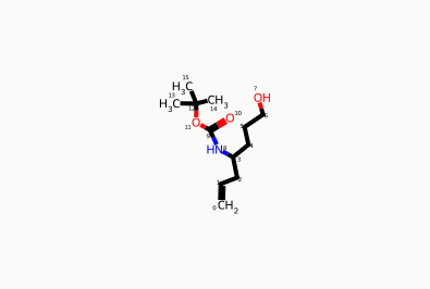 C=CCC(CCCO)NC(=O)OC(C)(C)C